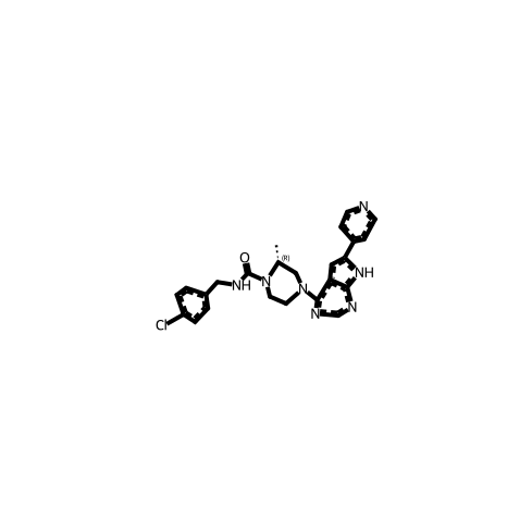 C[C@@H]1CN(c2ncnc3[nH]c(-c4ccncc4)cc23)CCN1C(=O)NCc1ccc(Cl)cc1